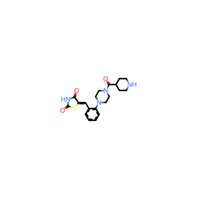 O=C1NC(=O)C(=Cc2ccccc2N2CCN(C(=O)C3CCNCC3)CC2)S1